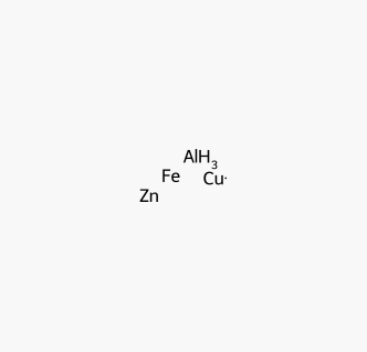 [AlH3].[Cu].[Fe].[Zn]